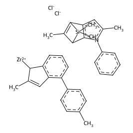 CC1=C2c3cc(C)n(-c4ccccc4)c3C1[Si]2(C)C.CC1=Cc2c(-c3ccc(C)cc3)cccc2[CH]1[Zr+2].[Cl-].[Cl-]